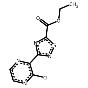 CCOC(=O)c1nc(-c2nccnc2Cl)ns1